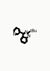 CC(C)(C)c1nc(-c2cccnc2)c2ccccc2n1